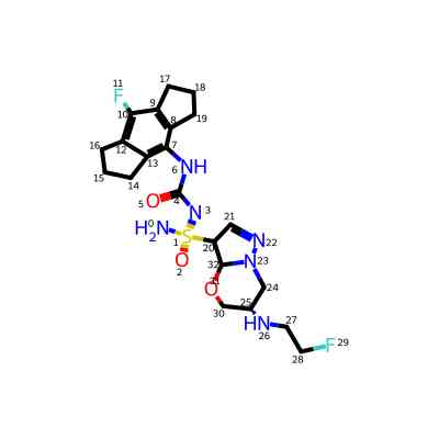 NS(=O)(=NC(=O)Nc1c2c(c(F)c3c1CCC3)CCC2)C1C=NN2C[C@H](NCCF)COC12